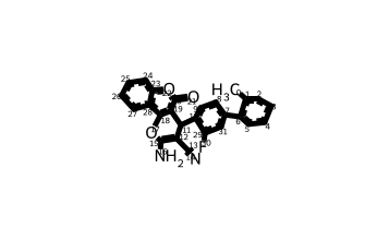 Cc1ccccc1-c1ccc(C2C(C#N)=C(N)Oc3c2c(=O)oc2ccccc32)c(F)c1